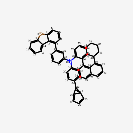 c1cc(-c2cccc3sc4ccccc4c23)cc(N(c2ccc(-c3c4cccc3-4)cc2)c2ccccc2-c2cccc3cccc(C4CCCCC4)c23)c1